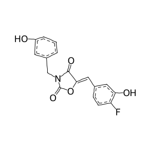 O=C1O/C(=C\c2ccc(F)c(O)c2)C(=O)N1Cc1cccc(O)c1